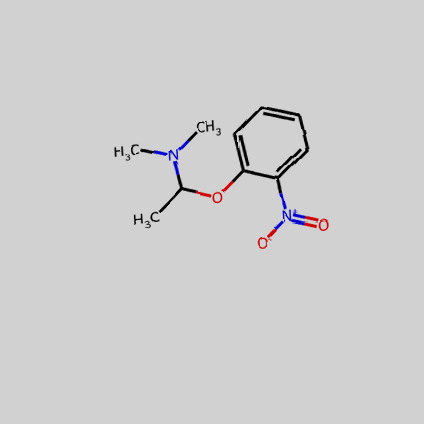 CC(Oc1ccccc1[N+](=O)[O-])N(C)C